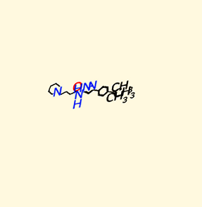 CC(C)(C)c1ccc(-c2cc(NC(=O)CCCN3CCCCC3)[nH]n2)cc1